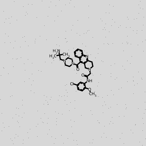 COc1ccc(Cl)cc1NC(=O)CN1CCc2nc3ccccc3c(C(=O)N3CCN(CC(C)(C)N)CC3)c2C1